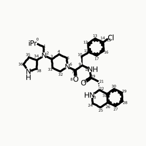 CC(C)CN(C1CCN(C(=O)[C@@H](Cc2ccc(Cl)cc2)NC(=O)C[C@H]2NCCc3ccccc32)CC1)C1CCNC1